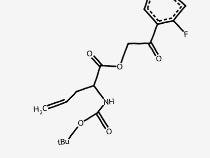 C=CCC(NC(=O)OC(C)(C)C)C(=O)OCC(=O)c1ccccc1F